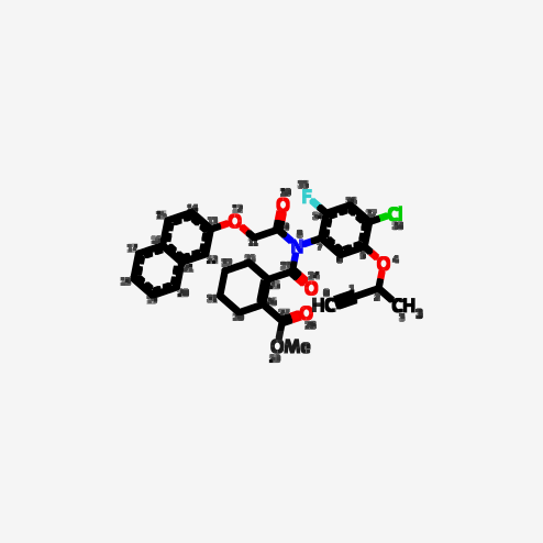 C#CC(C)Oc1cc(N(C(=O)COc2ccc3ccccc3c2)C(=O)C2=C(C(=O)OC)CCCC2)c(F)cc1Cl